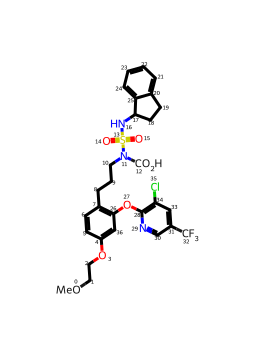 COCCOc1ccc(CCCN(C(=O)O)S(=O)(=O)NC2CCc3ccccc32)c(Oc2ncc(C(F)(F)F)cc2Cl)c1